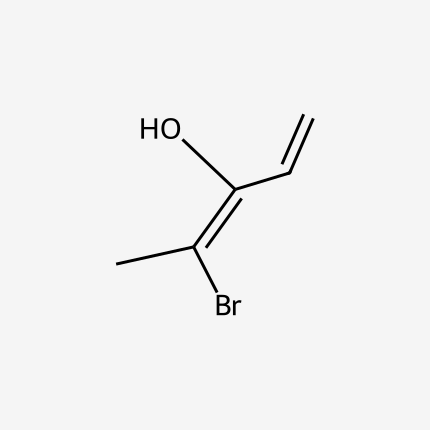 C=C/C(O)=C(/C)Br